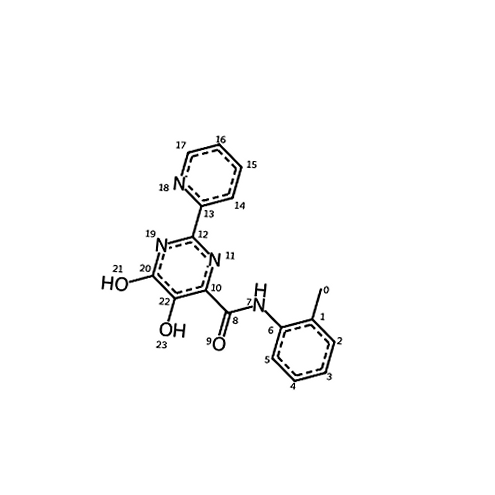 Cc1ccccc1NC(=O)c1nc(-c2ccccn2)nc(O)c1O